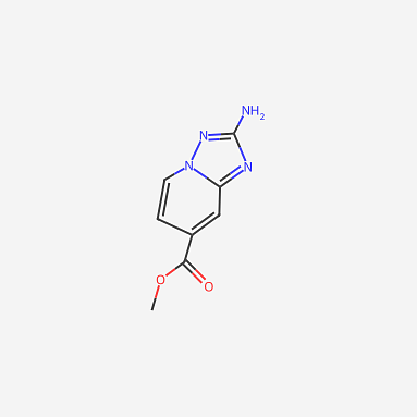 COC(=O)c1ccn2nc(N)nc2c1